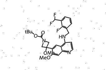 COc1cc2nccc(NCc3cccc(C(F)F)c3F)c2cc1C1(OC)CN(C(=O)OC(C)(C)C)C1